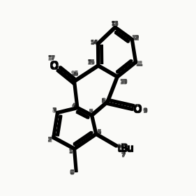 Cc1ccc2c(c1C(C)(C)C)C(=O)c1ccccc1C2=O